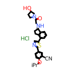 CC(C)Oc1ccc(-c2ncc(-c3cccc4c3CC[C@@H]4NCC(=O)N3CCC(O)C3)s2)cc1C#N.Cl